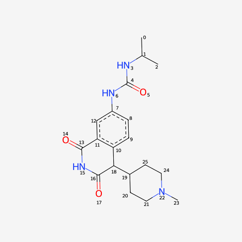 CC(C)NC(=O)Nc1ccc2c(c1)C(=O)NC(=O)C2C1CCN(C)CC1